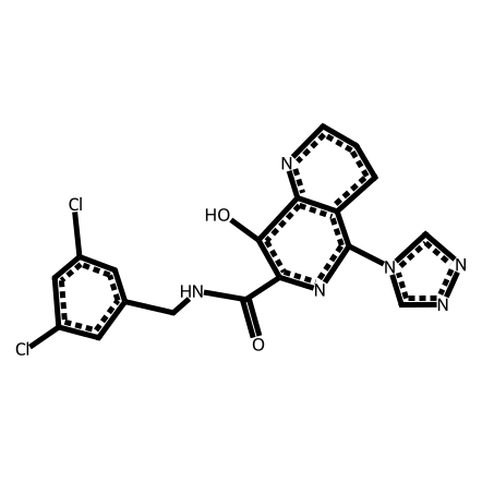 O=C(NCc1cc(Cl)cc(Cl)c1)c1nc(-n2cnnc2)c2cccnc2c1O